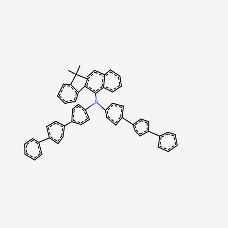 CC1(C)c2ccccc2-c2c1cc1ccccc1c2N(c1ccc(-c2ccc(-c3ccccc3)cc2)cc1)c1ccc(-c2ccc(-c3ccccc3)cc2)cc1